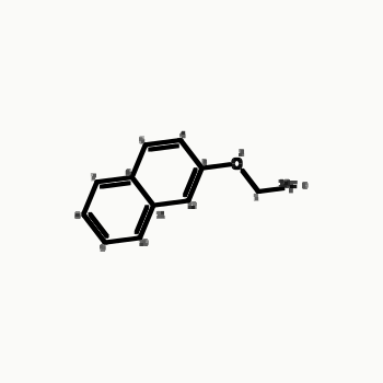 [18F]COc1ccc2ccccc2c1